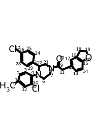 Cc1ccc(N2CCN(C(=O)Cc3ccc4c(c3)CCO4)CC2c2ccc(Cl)cc2)c(Cl)c1